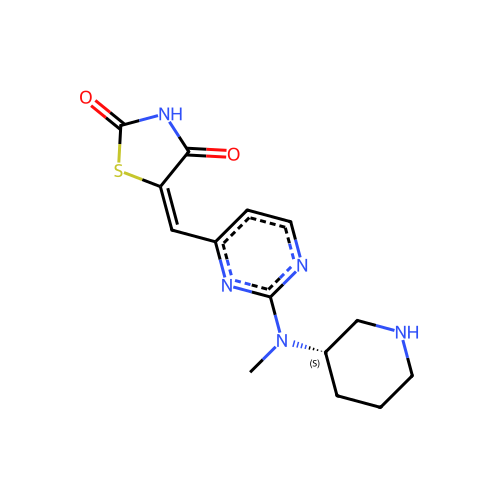 CN(c1nccc(C=C2SC(=O)NC2=O)n1)[C@H]1CCCNC1